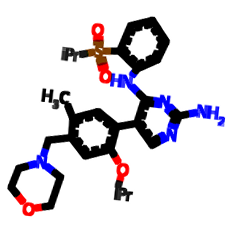 Cc1cc(-c2cnc(N)nc2Nc2ccccc2S(=O)(=O)C(C)C)c(OC(C)C)cc1CN1CCOCC1